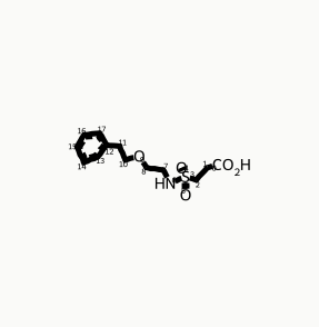 O=C(O)CCS(=O)(=O)NCCOCCc1ccccc1